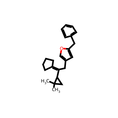 CC1(C)CC1C(Cc1coc(Cc2ccccc2)c1)=C1CCCC1